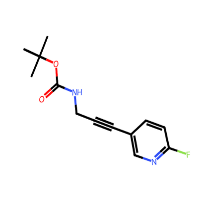 CC(C)(C)OC(=O)NCC#Cc1ccc(F)nc1